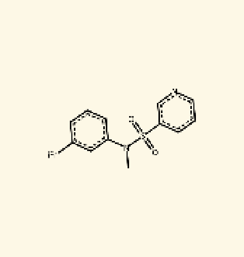 CC(C)c1cccc(N(C)S(=O)(=O)c2cccnc2)c1